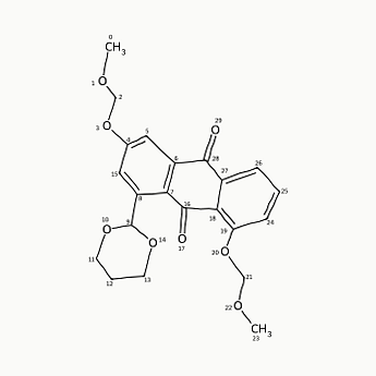 COCOc1cc2c(c(C3OCCCO3)c1)C(=O)c1c(OCOC)cccc1C2=O